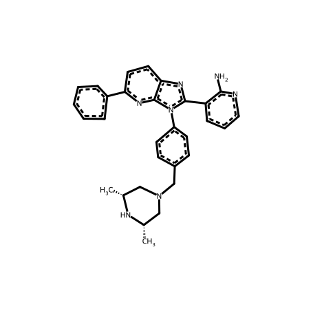 C[C@@H]1CN(Cc2ccc(-n3c(-c4cccnc4N)nc4ccc(-c5ccccc5)nc43)cc2)C[C@H](C)N1